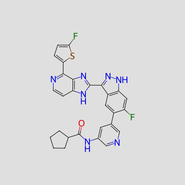 O=C(Nc1cncc(-c2cc3c(-c4nc5c(-c6ccc(F)s6)nccc5[nH]4)n[nH]c3cc2F)c1)C1CCCC1